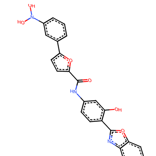 O=C(Nc1ccc(-c2nc3ccccc3o2)c(O)c1)c1ccc(-c2cccc(N(O)O)c2)o1